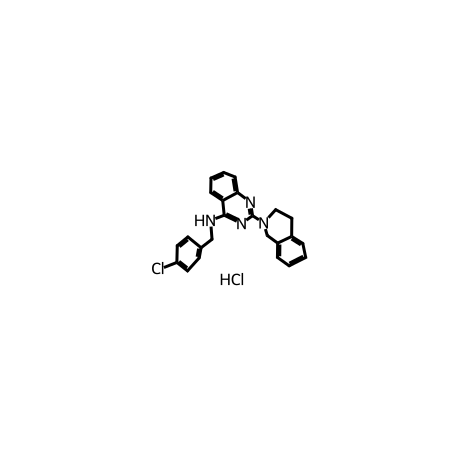 Cl.Clc1ccc(CNc2nc(N3CCc4ccccc4C3)nc3ccccc23)cc1